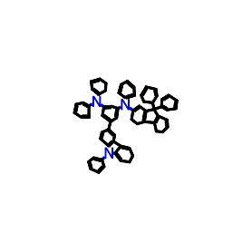 C1=CCCC(N(c2ccccc2)c2cc(-c3ccc4c(c3)c3c(n4-c4ccccc4)=CCCC=3)cc(N(C3=CC4=C(CC3)C3=C(C=CCC3)C4(c3ccccc3)C3C=CC=CC3)c3ccccc3)c2)=C1